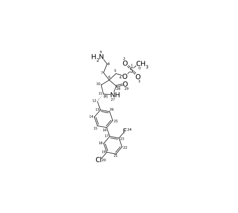 CS(=O)(=O)OCC1(CCN)C[C@@H](Cc2ccc(-c3cc(Cl)ccc3F)cc2)NC1=O